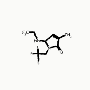 CC1=CC(NCC(F)(F)F)N(CC(F)(F)I)C1=O